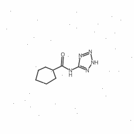 O=C(Nc1nn[nH]n1)C1CCCCC1